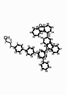 CCCCc1ccc(-c2ccc(-c3nc(-c4ccccc4)nc(-n4c5ccccc5c5cc(-c6cccc7oc8ccccc8c67)ccc54)n3)cc2)cc1